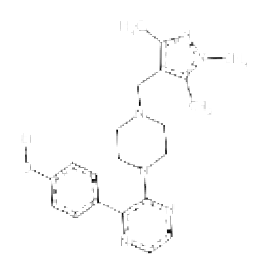 CCOc1ccc(-c2nccnc2N2CCN(Cc3c(C)nn(C)c3C)CC2)cc1